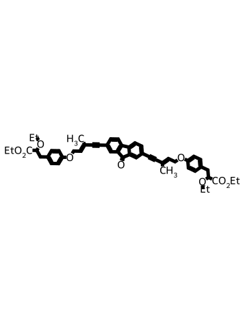 CCOC(=O)C(Cc1ccc(OCC=C(C)C#Cc2ccc3c(c2)C(=O)c2cc(C#CC(C)=CCOc4ccc(CC(OCC)C(=O)OCC)cc4)ccc2-3)cc1)OCC